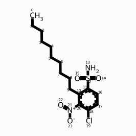 CCCCCCCCCCc1c(S(N)(=O)=O)ccc(Cl)c1[N+](=O)[O-]